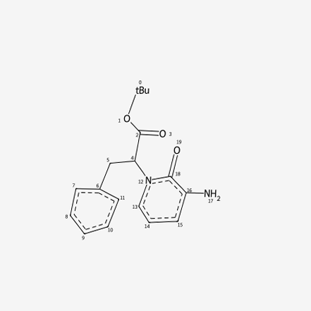 CC(C)(C)OC(=O)C(Cc1ccccc1)n1cccc(N)c1=O